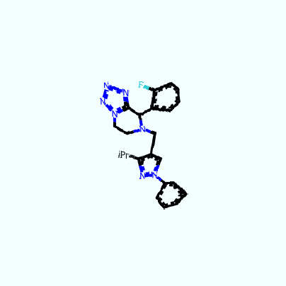 CC(C)c1nn(-c2ccccc2)cc1CN1CCn2nnnc2C1c1ccccc1F